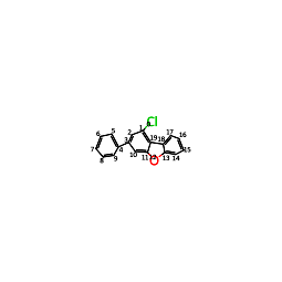 Clc1cc(-c2ccccc2)cc2oc3ccccc3c12